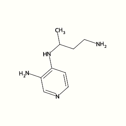 CC(CCN)Nc1ccncc1N